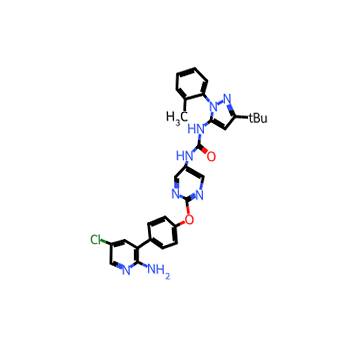 Cc1ccccc1-n1nc(C(C)(C)C)cc1NC(=O)Nc1cnc(Oc2ccc(-c3cc(Cl)cnc3N)cc2)nc1